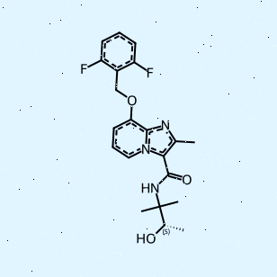 Cc1nc2c(OCc3c(F)cccc3F)cccn2c1C(=O)NC(C)(C)[C@H](C)O